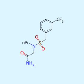 CCCN(CC(N)=O)S(=O)(=O)Cc1cccc(C(F)(F)F)c1